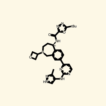 Cc1n[nH]cc1Nc1nccc(-c2ccc3c(c2)CN(C2COC2)CC[C@H]3NC(=O)c2nnc(C(C)(C)C)o2)n1